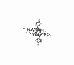 COc1ccc([N+](=O)[O-])cc1C(C=Cc1ccc(I)cc1)S(=O)(=O)C(C=Cc1ccc(I)cc1)c1cc([N+](=O)[O-])ccc1OC